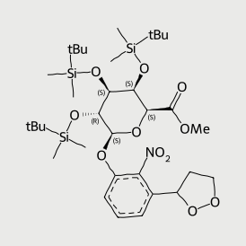 COC(=O)[C@H]1O[C@@H](Oc2cccc(C3CCOO3)c2[N+](=O)[O-])[C@H](O[Si](C)(C)C(C)(C)C)[C@@H](O[Si](C)(C)C(C)(C)C)[C@H]1O[Si](C)(C)C(C)(C)C